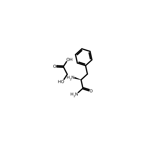 NC(=O)[C@@H](N)Cc1ccccc1.O=C(O)CO